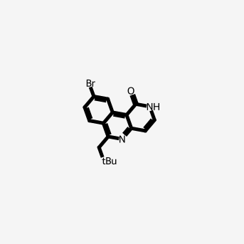 CC(C)(C)Cc1nc2cc[nH]c(=O)c2c2cc(Br)ccc12